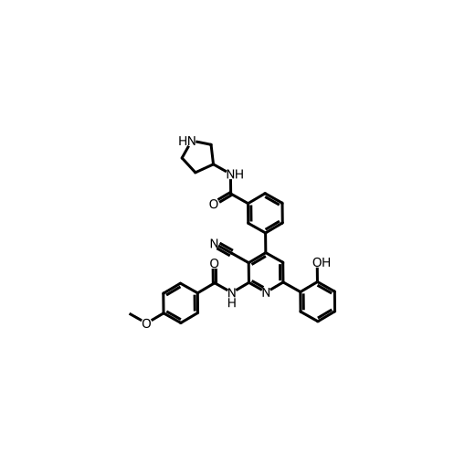 COc1ccc(C(=O)Nc2nc(-c3ccccc3O)cc(-c3cccc(C(=O)NC4CCNC4)c3)c2C#N)cc1